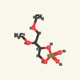 COCC(OC)C1COS(=O)(=O)O1